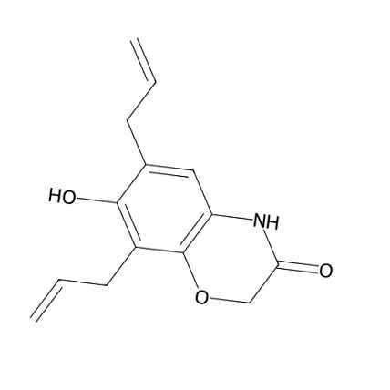 C=CCc1cc2c(c(CC=C)c1O)OCC(=O)N2